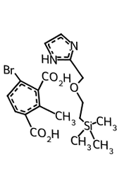 C[Si](C)(C)CCOCc1ncc[nH]1.Cc1c(C(=O)O)ccc(Br)c1C(=O)O